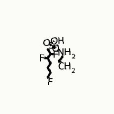 C=CCN.O=S(=O)(O)CC(F)C(F)CCCCF